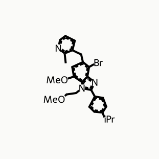 COCCn1c(-c2ccc(C(C)C)cc2)nc2c(Br)c(Cc3cccnc3C)cc(OC)c21